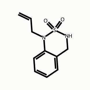 C=CCN1c2ccccc2CNS1(=O)=O